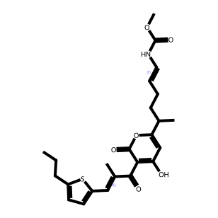 CCCc1ccc(/C=C(\C)C(=O)c2c(O)cc(C(C)CC/C=C/NC(=O)OC)oc2=O)s1